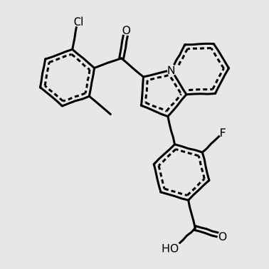 Cc1cccc(Cl)c1C(=O)c1cc(-c2ccc(C(=O)O)cc2F)c2ccccn12